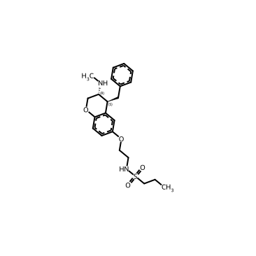 CCCS(=O)(=O)NCCOc1ccc2c(c1)[C@H](Cc1ccccc1)[C@@H](NC)CO2